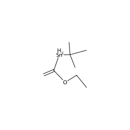 C=[C](OCC)[SnH2][C](C)(C)C